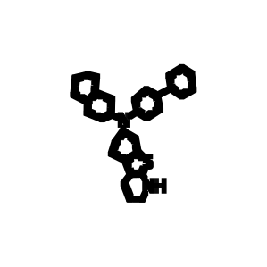 C1=Cc2c(sc3cc(N(c4ccc(-c5ccccc5)cc4)c4ccc5ccccc5c4)ccc23)NC1